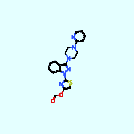 O=COc1csc(-n2nc(N3CCN(c4ccccn4)CC3)c3ccccc32)n1